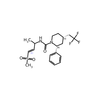 CC(/C=C/S(C)(=O)=O)NC(=O)N1CC[C@H](CC(F)(F)F)C[C@@H]1c1ccccc1